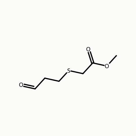 COC(=O)CSCCC=O